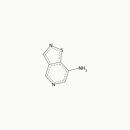 Nc1cncc2cnsc12